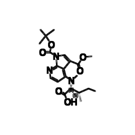 CC[C@H](C)[C@H](C(=O)O)N(C)c1ccnc2c1c(C(=O)OC)cn2C(=O)OC(C)(C)C